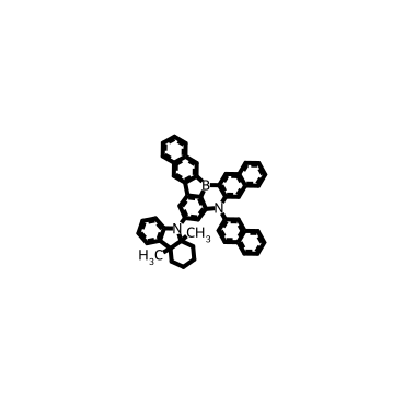 CC12CCCCC1(C)N(c1cc3c4c(c1)N(c1ccc5ccccc5c1)c1cc5ccccc5cc1B4c1cc4ccccc4cc1-3)c1ccccc12